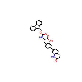 O=C1CCc2ccc(-c3ccc(C[C@H](NC(=O)OCC4c5ccccc5-c5ccccc54)C(=O)O)cc3)cc2N1